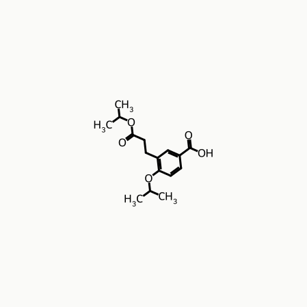 CC(C)OC(=O)CCc1cc(C(=O)O)ccc1OC(C)C